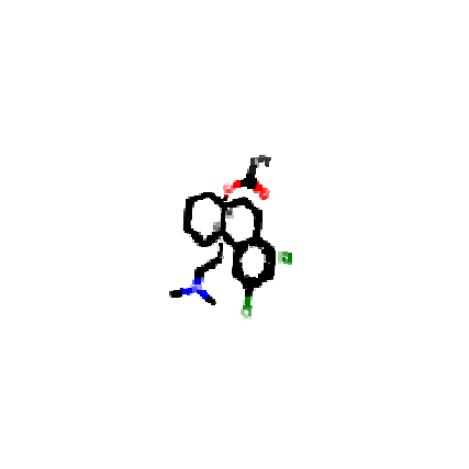 CCCC(=O)O[C@@]12CCCC[C@]1(CCN(C)C)c1cc(Cl)ccc1CC2.Cl